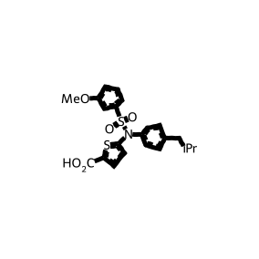 COc1cccc(S(=O)(=O)N(c2ccc(CC(C)C)cc2)c2ccc(C(=O)O)s2)c1